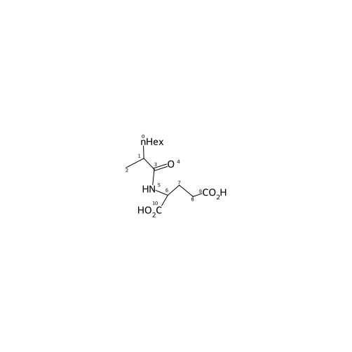 CCCCCCC(C)C(=O)NC(CCC(=O)O)C(=O)O